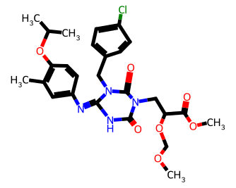 COCOC(Cn1c(=O)[nH]c(=Nc2ccc(OC(C)C)c(C)c2)n(Cc2ccc(Cl)cc2)c1=O)C(=O)OC